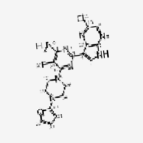 Nc1nc(-c2c[nH]c3ncc(Cl)nc23)nc(N2CCN(c3ccco3)CC2)c1F